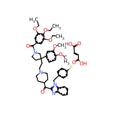 CCOc1cc(C(=O)N2CCC(CCN3CCC(C(=O)c4nc5ccccc5n4Cc4ccc(F)cc4)CC3)(c3ccc(OC)c(OC)c3)C2)cc(OCC)c1OCC.O=C(O)C=CC(=O)O